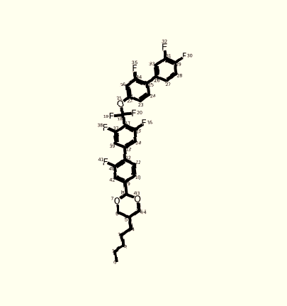 CCCCCC1COC(c2ccc(-c3cc(F)c(C(F)(F)Oc4ccc(-c5ccc(F)c(F)c5)c(F)c4)c(F)c3)c(F)c2)OC1